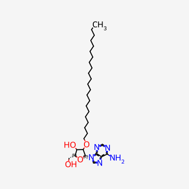 CCCCCCCCCCCCCCCCCCCCCCOC1C(O)[C@@H](CO)O[C@H]1n1cnc2c(N)ncnc21